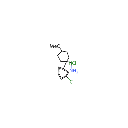 COC1CCC(CN)(c2cccc(Cl)c2)CC1.Cl